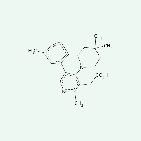 Cc1cccc(-c2cnc(C)c(CC(=O)O)c2N2CCC(C)(C)CC2)c1